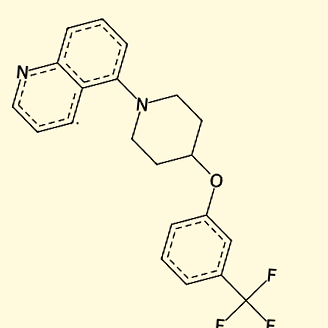 FC(F)(F)c1cccc(OC2CCN(c3cccc4ncc[c]c34)CC2)c1